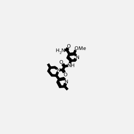 COc1ncc(NC(=O)C(=O)N2CC(C)CCC2c2ccc(C)nc2)cc1C(N)=O